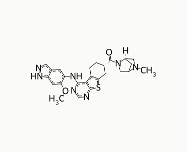 COc1cc2[nH]ncc2cc1Nc1ncnc2sc3c(c12)CC[C@H](C(=O)N1CC2C[C@@H]1CN2C)C3